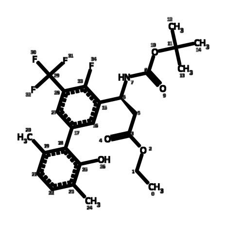 CCOC(=O)C[C@H](NC(=O)OC(C)(C)C)c1cc(-c2c(C)ccc(C)c2O)cc(C(F)(F)F)c1F